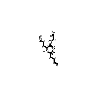 C=CCCC(=O)NC(CCSC)C(=O)OCC#N